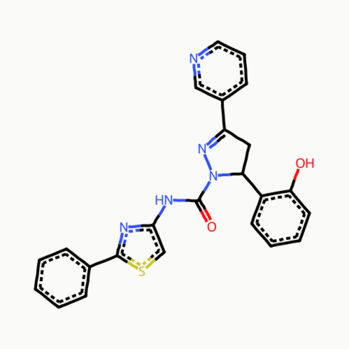 O=C(Nc1csc(-c2ccccc2)n1)N1N=C(c2cccnc2)CC1c1ccccc1O